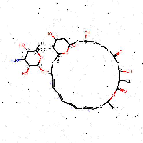 CCCC1C/C=C/C=C/C=C/C=C/[C@H](O[C@@H]2O[C@H](C)[C@@H](O)[C@H](N)[C@@H]2O)C[C@@H]2O[C@](O)(C[C@@H](O)CCCC(=O)C[C@@H](O)C(CC)C(=O)O1)C[C@H](O)[C@H]2C(=O)O